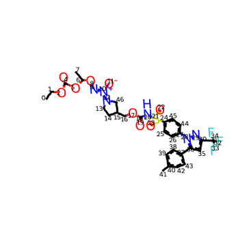 CCOC(=O)OC(C)O/N=[N+](\[O-])N1CCC(COC(=O)NS(=O)(=O)c2ccc(-n3nc(C(F)(F)F)cc3-c3ccc(C)cc3)cc2)C1